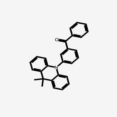 CC1(C)c2ccccc2N(c2cccc(C(=O)c3ccccc3)c2)c2ccccc21